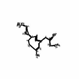 CSOC1/C=C/C(CC(=O)SC)CC(O)CC1